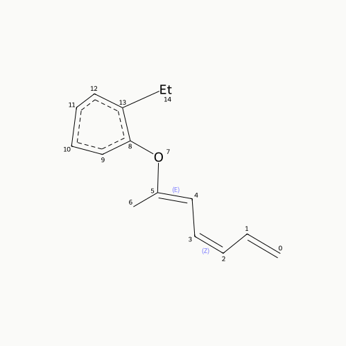 C=C/C=C\C=C(/C)Oc1ccccc1CC